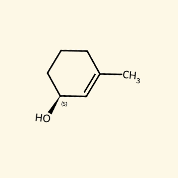 CC1=C[C@@H](O)CCC1